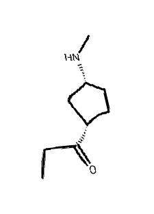 CCC(=O)[C@H]1CC[C@@H](NC)C1